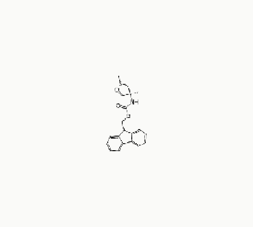 CSC[C@](C)(C=O)NC(=O)OCC1c2ccccc2-c2ccccc21